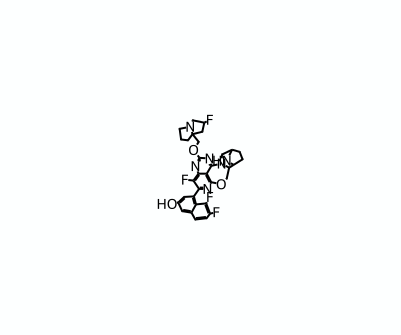 Oc1cc(-c2nc3c4c(nc(OCC56CCCN5CC(F)C6)nc4c2F)N2CC4CCC(N4)C2CO3)c2c(F)c(F)ccc2c1